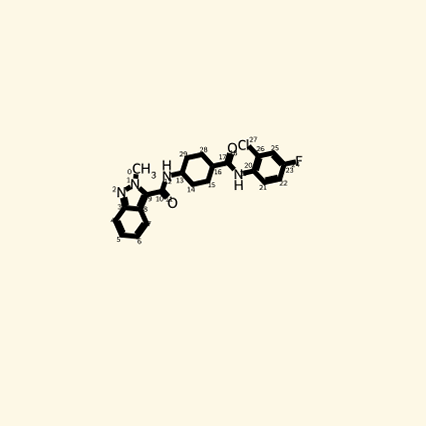 Cn1nc2ccccc2c1C(=O)NC1CCC(C(=O)Nc2ccc(F)cc2Cl)CC1